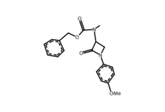 COc1ccc(N2CC(N(C)C(=O)OCc3ccccc3)C2=O)cc1